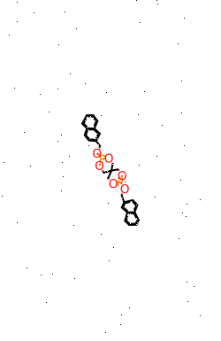 c1ccc2cc(COP3OCC4(CO3)COP(OCc3ccc5ccccc5c3)OC4)ccc2c1